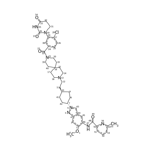 COc1cc2nn([C@H]3CC[C@H](CCN4CCC5(CC4)CCN(C(=O)c4ccc(Cl)c(N6CCC(=O)NC6=O)c4)CC5)CC3)cc2cc1NC(=O)c1cccc(C)n1